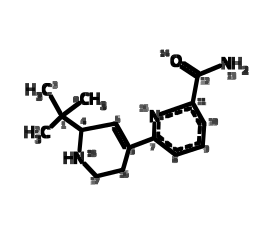 CC(C)(C)C1C=C(c2cccc(C(N)=O)n2)CCN1